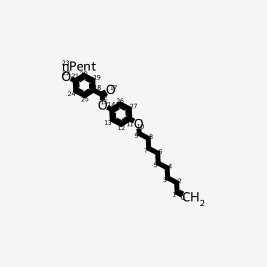 C=CCCCCCCCCOc1ccc(OC(=O)c2ccc(OCCCCC)cc2)cc1